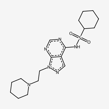 O=S(=O)(Nc1ncnc2c1cnn2CCN1CCCCC1)C1CCCCC1